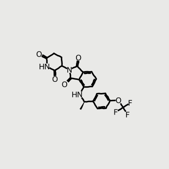 C[C@@H](Nc1cccc2c1C(=O)N(C1CCC(=O)NC1=O)C2=O)c1ccc(OC(F)(F)F)cc1